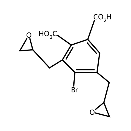 O=C(O)c1cc(CC2CO2)c(Br)c(CC2CO2)c1C(=O)O